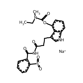 CCN(C)C(=O)Oc1cccc2[nH]cc(CCC(=O)NC(=O)c3ccccc3[S-](=O)=O)c12.[Na+]